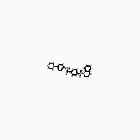 O=C(Nc1ccc(N2CCOCC2)cc1)c1ccc(S(=O)(=O)N2CCCc3ccccc32)cc1